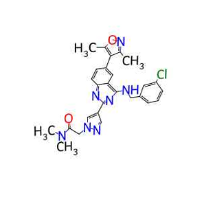 Cc1noc(C)c1-c1ccc2nc(-c3cnn(CC(=O)N(C)C)c3)nc(NCc3cccc(Cl)c3)c2c1